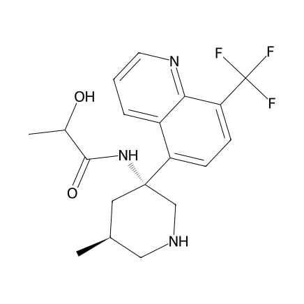 CC(O)C(=O)N[C@]1(c2ccc(C(F)(F)F)c3ncccc23)CNC[C@@H](C)C1